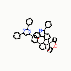 c1ccc(-c2cc(-c3ccc(-c4cccc5c4-c4c(ccc6c(-c7ccccc7)nc7ccccc7c46)C54c5ccccc5Oc5ccccc54)cc3)nc(-c3ccccc3)n2)cc1